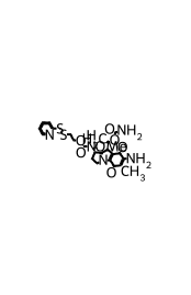 C=C(OC(N)=O)[C@@H]1C2=C(C(=O)C(C)=C(N)C2=O)N2CCC(NC(=O)OCCSSc3ccccn3)[C@]12OC